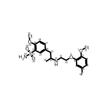 CCOc1ccc(F)cc1OCCNC(C)Cc1ccc(OCC)c(S(N)(=O)=O)c1